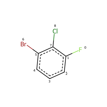 Fc1[c]ccc(Br)c1Cl